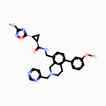 Cc1noc([C@@H]2C[C@H]2C(=O)NCc2ccc(-c3cccc(OC(F)(F)F)c3)c3c2CN(Cc2ccncn2)CC3)n1